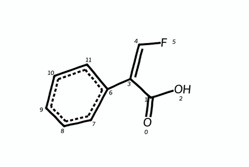 O=C(O)C(=CF)c1ccccc1